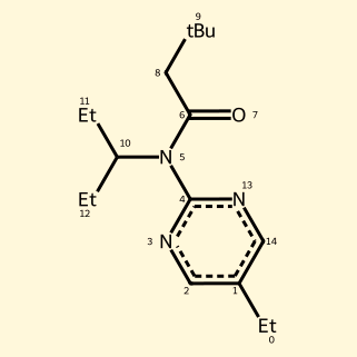 CCc1cnc(N(C(=O)CC(C)(C)C)C(CC)CC)nc1